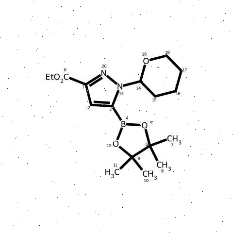 CCOC(=O)c1cc(B2OC(C)(C)C(C)(C)O2)n(C2CCCCO2)n1